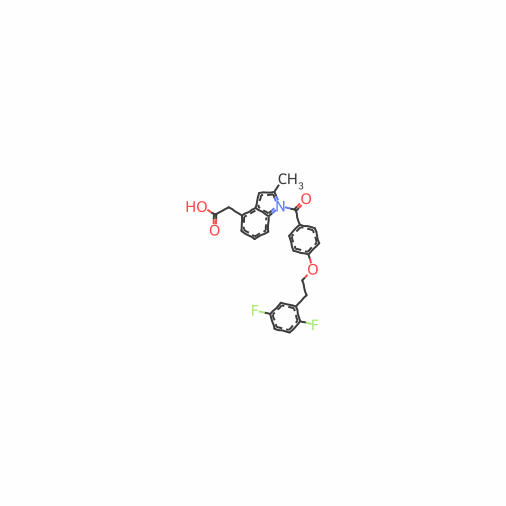 Cc1cc2c(CC(=O)O)cccc2n1C(=O)c1ccc(OCCc2cc(F)ccc2F)cc1